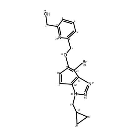 OCc1cccc(COc2ccc3c(nnn3CC3CC3)c2Br)n1